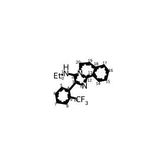 CCNc1c(-c2ccccc2C(F)(F)F)nc2c3ccccc3ccn12